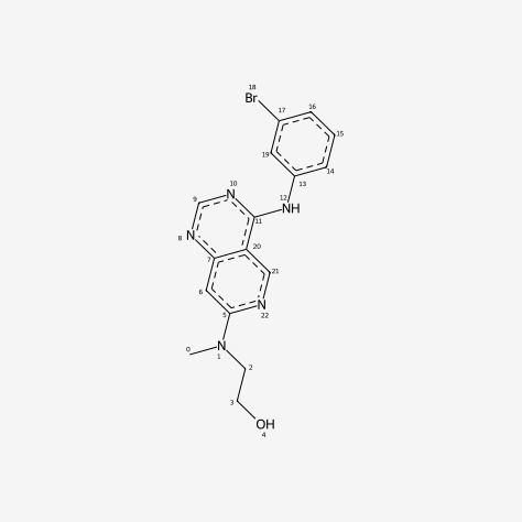 CN(CCO)c1cc2ncnc(Nc3cccc(Br)c3)c2cn1